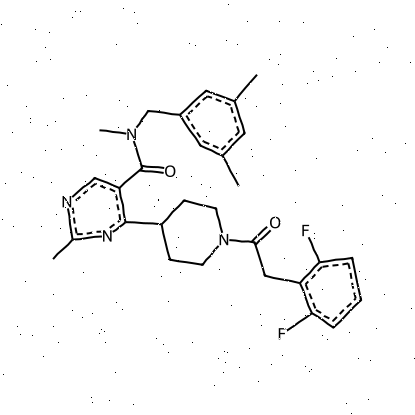 Cc1cc(C)cc(CN(C)C(=O)c2cnc(C)nc2C2CCN(C(=O)Cc3c(F)cccc3F)CC2)c1